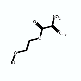 C=C(C(=O)OCCOCC)[N+](=O)[O-]